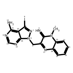 Cn1c(=N)c(Cn2nc(I)c3c(N)ncnc32)nc2ccccc21